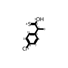 CC(C(O)=S)c1ccc(Cl)cc1